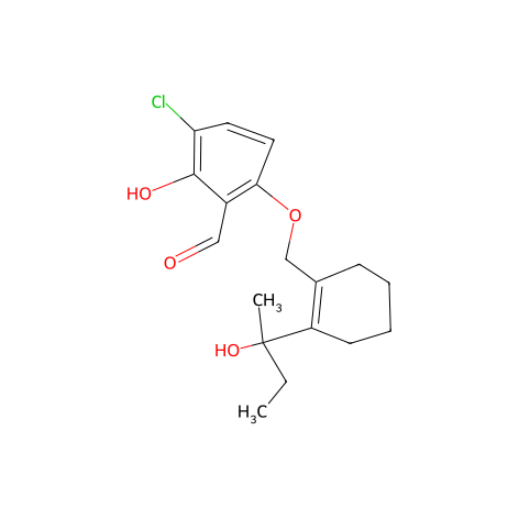 CCC(C)(O)C1=C(COc2ccc(Cl)c(O)c2C=O)CCCC1